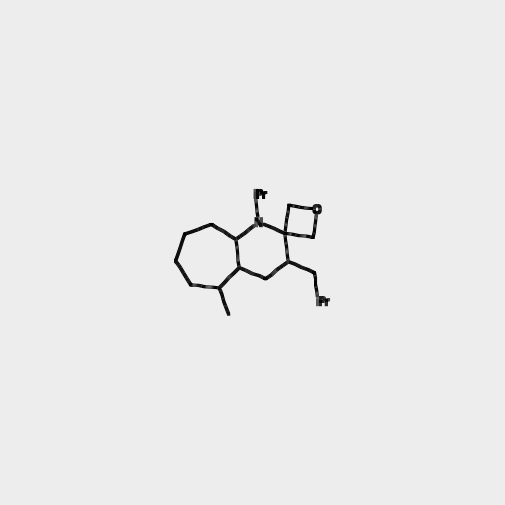 CC(C)CC1CC2C(C)CCCCC2N(C(C)C)C12COC2